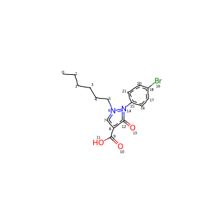 CCCCCCn1cc(C(=O)O)c(=O)n1-c1ccc(Br)cc1